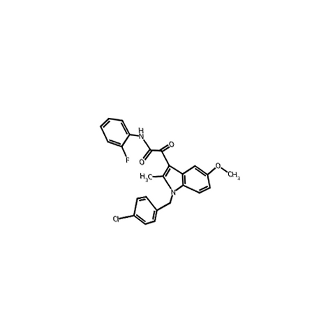 COc1ccc2c(c1)c(C(=O)C(=O)Nc1ccccc1F)c(C)n2Cc1ccc(Cl)cc1